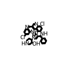 N#Cc1cnc2c(Cl)cc(N[C@@H](c3ccccc3)c3cn(C4CCNC[C@H]4O)nn3)cc2c1Nc1cccc(Cl)c1